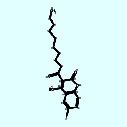 CCCCCCCCCC(=O)c1c(O)c2cc(F)ccc2oc1=O